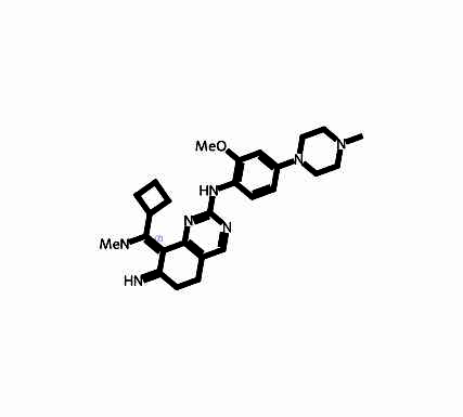 CN/C(=C1\C(=N)CCc2cnc(Nc3ccc(N4CCN(C)CC4)cc3OC)nc21)C1CCC1